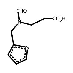 O=CN(CCC(=O)O)Cc1cccs1